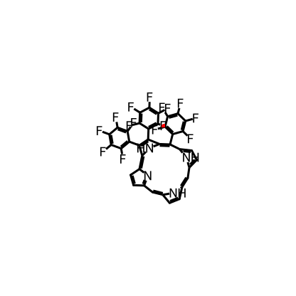 Fc1c(F)c(F)c(-c2c(-c3c(F)c(F)c(F)c(F)c3F)c3[nH]c2c2nc(cc4ccc(cc5ccc([nH]5)c3-c3c(F)c(F)c(F)c(F)c3F)[nH]4)C=C2)c(F)c1F